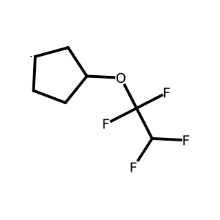 FC(F)C(F)(F)OC1C[CH]CC1